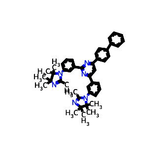 CC1=NC(C)(C)C(C)(C)N1c1cccc(-c2cc(-c3ccc(-c4ccccc4)cc3)nc(-c3cccc(N4C(C)=NC(C)(C)C4(C)C)c3)n2)c1